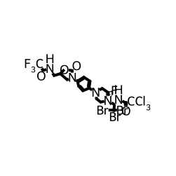 O=C1OC(CNC(=O)C(F)(F)F)CN1c1ccc(N2CCN(C(NC(=O)C(Cl)(Cl)Cl)C(Br)(Br)Br)[C@@H](F)C2)cc1